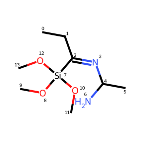 CCC(=NC(C)N)[Si](OC)(OC)OC